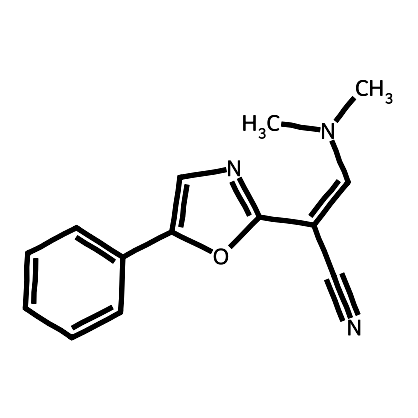 CN(C)/C=C(/C#N)c1ncc(-c2ccccc2)o1